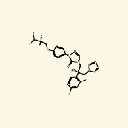 O=c1n(C[C@](O)(Cn2cncn2)c2ccc(F)cc2F)cnn1-c1ccc(OCC(F)(F)C(F)F)cc1